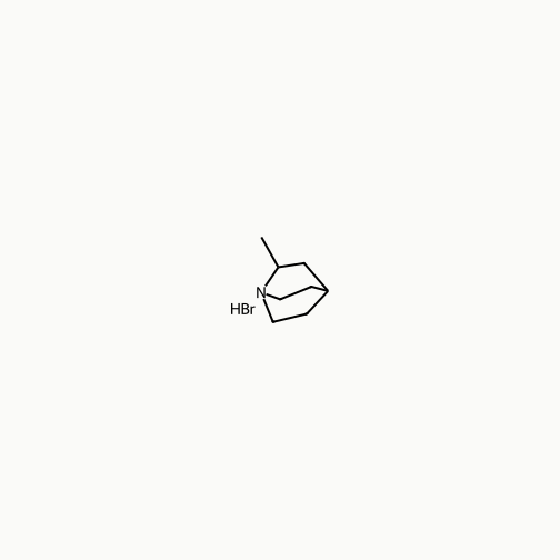 Br.CC1CC2CCN1CC2